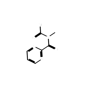 CN(C(=N)N)C(=N)c1ncccn1